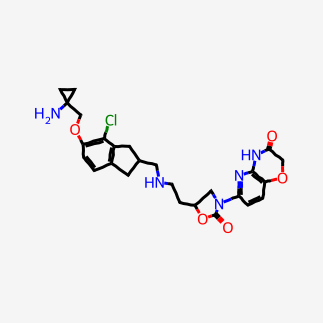 NC1(COc2ccc3c(c2Cl)CC(CNCCC2CN(c4ccc5c(n4)NC(=O)CO5)C(=O)O2)C3)CC1